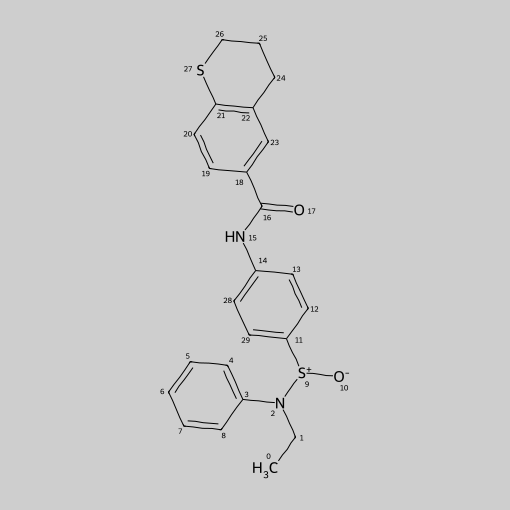 CCN(c1ccccc1)[S+]([O-])c1ccc(NC(=O)c2ccc3c(c2)CCCS3)cc1